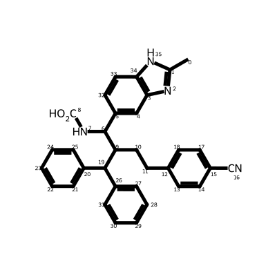 Cc1nc2cc(C(NC(=O)O)C(CCc3ccc(C#N)cc3)C(c3ccccc3)c3ccccc3)ccc2[nH]1